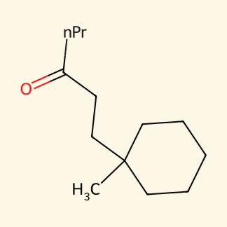 CCCC(=O)CCC1(C)CCCCC1